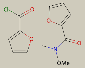 CON(C)C(=O)c1ccco1.O=C(Cl)c1ccco1